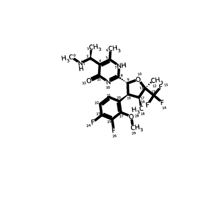 CN[C@@H](C)c1c(C)[nH]c([C@@H]2O[C@@](C)(C(F)(F)F)[C@@H](C)[C@H]2c2ccc(F)c(F)c2OC)nc1=O